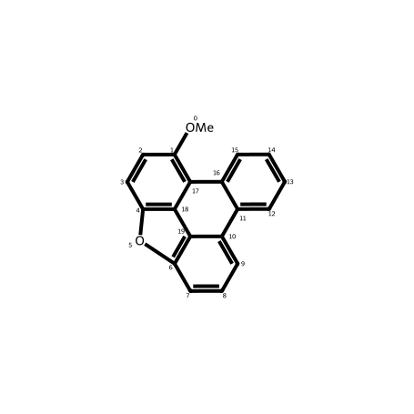 COc1ccc2oc3cccc4c5ccccc5c1c2c34